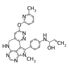 C=CC(O)Nc1ccc(-c2c3c4c(ncnc4n2C)NCc2cc(Oc4cccc(C)n4)nnc2-3)cc1